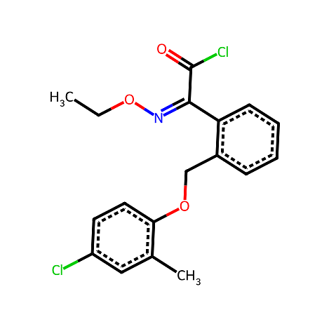 CCON=C(C(=O)Cl)c1ccccc1COc1ccc(Cl)cc1C